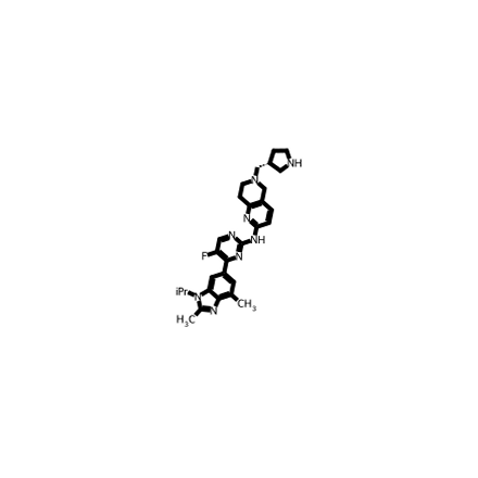 Cc1cc(-c2nc(Nc3ccc4c(n3)CCN(C[C@@H]3CCNC3)C4)ncc2F)cc2c1nc(C)n2C(C)C